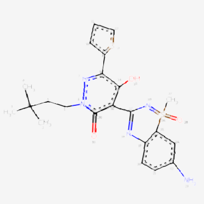 CC(C)(C)CCn1nc(-c2cccs2)c(O)c(C2=Nc3ccc(N)cc3S(C)(=O)=N2)c1=O